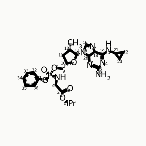 CC(C)OC(=O)CNP(=O)(OC[C@@H]1C[C@H](C)[C@H](N2C=NC3C(NC4CC4)=NC(N)=NC32)O1)Oc1ccccc1